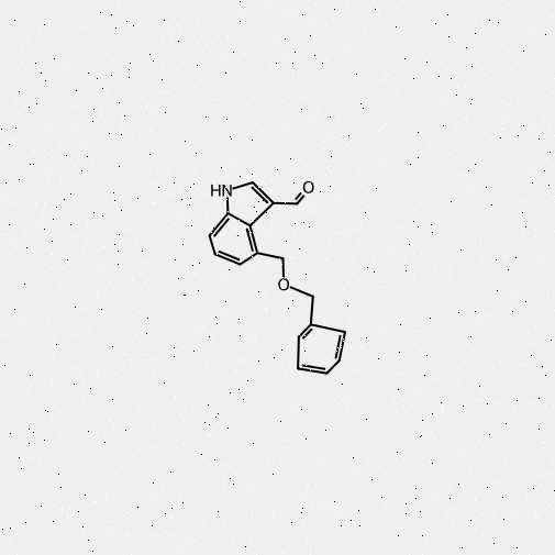 O=Cc1c[nH]c2cccc(COCc3ccccc3)c12